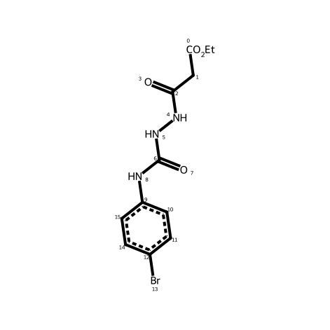 CCOC(=O)CC(=O)NNC(=O)Nc1ccc(Br)cc1